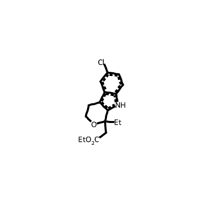 CCOC(=O)CC1(CC)OCCc2c1[nH]c1ccc(Cl)cc21